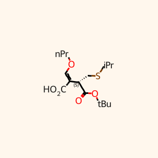 CCCOC=C(C(=O)O)[C@H](CSC(C)C)C(=O)OC(C)(C)C